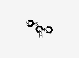 c1cc(SC2CCNC(N3CCCCC3)C2)ccn1